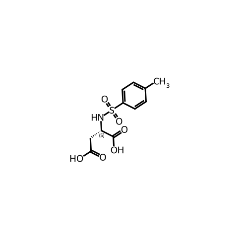 Cc1ccc(S(=O)(=O)N[C@@H](CC(=O)O)C(=O)O)cc1